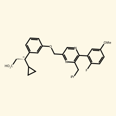 COc1ccc(F)c(-c2ncc(COc3cccc([C@@H](CC(=O)O)C4CC4)c3)nc2CC(C)C)c1